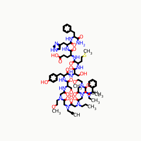 C#CCN(CC(=O)N(CCOC)CC(=O)NC(CO)C(=O)NC(Cc1ccc(O)cc1)C(=O)NC(CO)C(=O)NC(CCSC)C(=O)NC(CCC(=O)O)C(=O)NC(Cc1c[nH]cn1)C(=O)NC(Cc1ccccc1)C(N)=O)C(=O)CN(CCC)C(=O)CN(CC=C)C(=O)CN(CCOC)C(=O)CN(CC)C(C)c1ccccc1